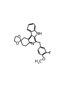 COc1ccc(Cc2nc3c(c4c2[nH]c2ccccc24)CC2(CC3)OCCO2)cc1F